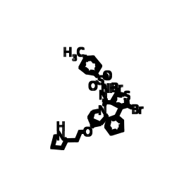 Cc1ccc(S(=O)(=O)NN=C(c2c(Br)sc(Br)c2-c2ccccc2)N2CC3CC2CC3OCCC2CCCN2)cc1